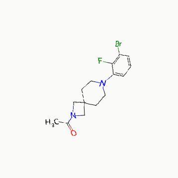 CC(=O)N1CC2(CCN(c3cccc(Br)c3F)CC2)C1